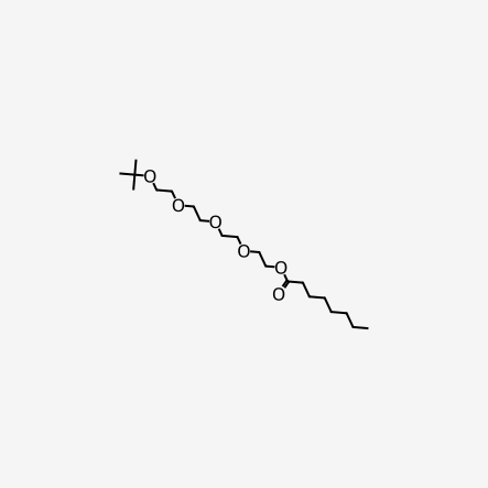 CCCCCCCC(=O)OCCOCCOCCOCCOC(C)(C)C